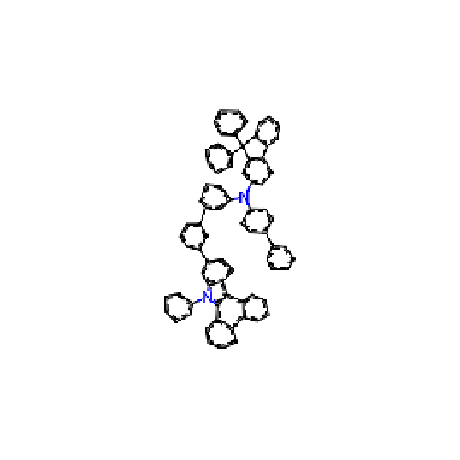 c1ccc(-c2ccc(N(c3cccc(-c4cccc(-c5ccc6c7c8ccccc8c8ccccc8c7n(-c7ccccc7)c6c5)c4)c3)c3ccc4c(c3)C(c3ccccc3)(c3ccccc3)c3ccccc3-4)cc2)cc1